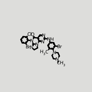 Cc1cc(Nc2ncc3c(n2)N2CCN=C2N(c2c(Cl)cccc2Br)C3=O)cc(Br)c1N1CCN(C)CC1